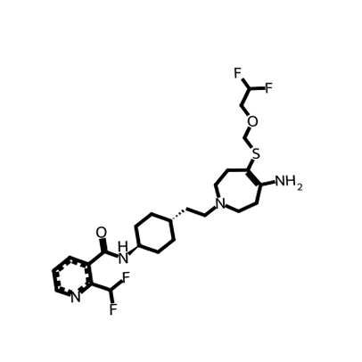 NC1=C(SCOCC(F)F)CCN(CC[C@H]2CC[C@H](NC(=O)c3cccnc3C(F)F)CC2)CC1